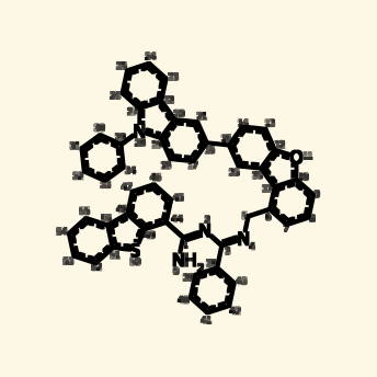 N/C(=N\C(=N/Cc1cccc2oc3ccc(-c4ccc5c(c4)c4ccccc4n5-c4ccccc4)cc3c12)c1ccccc1)c1cccc2c1sc1ccccc12